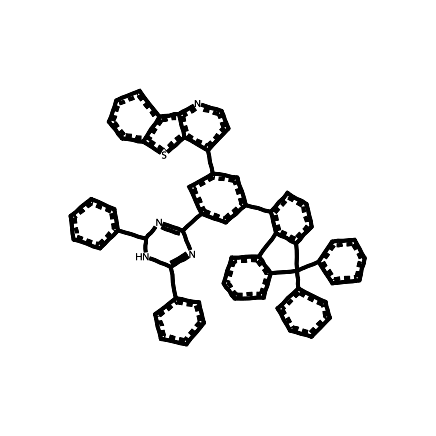 c1ccc(C2=NC(c3cc(-c4cccc5c4-c4ccccc4C5(c4ccccc4)c4ccccc4)cc(-c4ccnc5c4sc4ccccc45)c3)=NC(c3ccccc3)N2)cc1